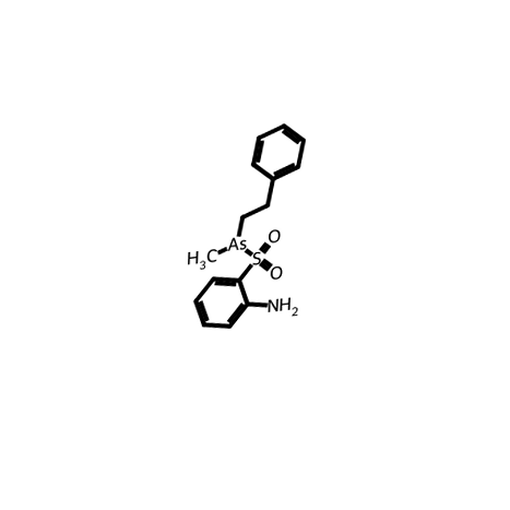 C[As](CCc1ccccc1)S(=O)(=O)c1ccccc1N